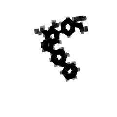 CO[C@]1(CO)CC[C@H](c2nc3c(-c4ccc(-c5ccccc5)nc4)cnn3c(N)c2C(C)=O)CC1